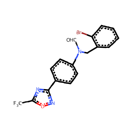 O=CN(Cc1ccccc1Br)c1ccc(-c2noc(C(F)(F)F)n2)cc1